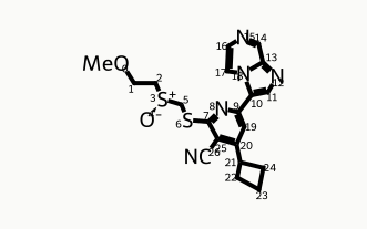 COCC[S@@+]([O-])CSc1nc(-c2cnc3cnccn23)cc(C2CCC2)c1C#N